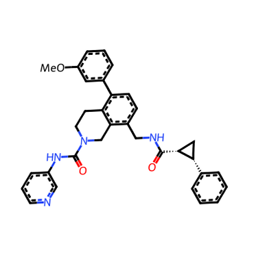 COc1cccc(-c2ccc(CNC(=O)[C@@H]3C[C@@H]3c3ccccc3)c3c2CCN(C(=O)Nc2cccnc2)C3)c1